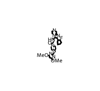 COc1cc(OC)nc(CN2CCN(C(=O)CNc3c(-c4ccccc4F)nc4cnccn34)CC2)n1